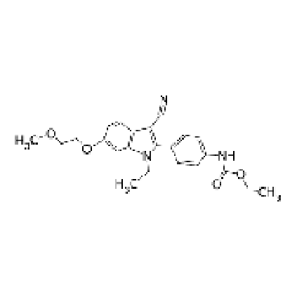 CCOC(=O)Nc1ccc(-c2c(C#N)c3ccc(OCCOC)cc3n2CC)cc1